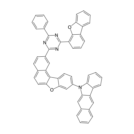 c1ccc(-c2nc(-c3ccc4ccc5oc6cc(-n7c8ccccc8c8cc9ccccc9cc87)ccc6c5c4c3)nc(-c3cccc4c3oc3ccccc34)n2)cc1